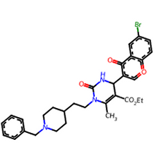 CCOC(=O)C1=C(C)N(CCC2CCN(Cc3ccccc3)CC2)C(=O)NC1c1coc2ccc(Br)cc2c1=O